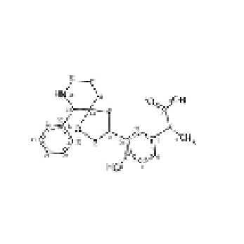 CC(C(=O)O)c1ccc(O)c(C2COC3(CCCNC3c3ccccc3)C2)c1